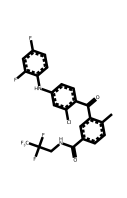 Cc1ccc(C(=O)NCC(F)(F)C(F)(F)F)cc1C(=O)c1ccc(Nc2ccc(F)cc2F)cc1Cl